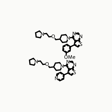 COc1cccc(-c2csc3ncnc(N4CCC(COCCN5CCCC5)CC4)c23)c1.c1cc(-c2csc3ncnc(N4CCC(COCCN5CCCC5)CC4)c23)ccn1